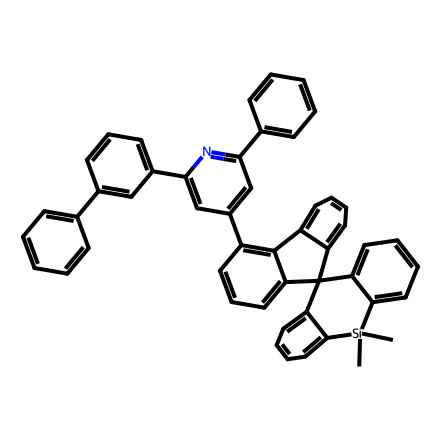 C[Si]1(C)c2ccccc2C2(c3ccccc3-c3c(-c4cc(-c5ccccc5)nc(-c5cccc(-c6ccccc6)c5)c4)cccc32)c2ccccc21